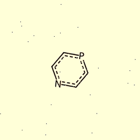 c1cpccn1